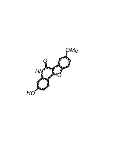 COc1ccc2oc3c4ccc(O)cc4[nH]c(=O)c3c2c1